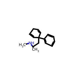 CNC(C)CC1(c2ccccc2)C=CCC=C1